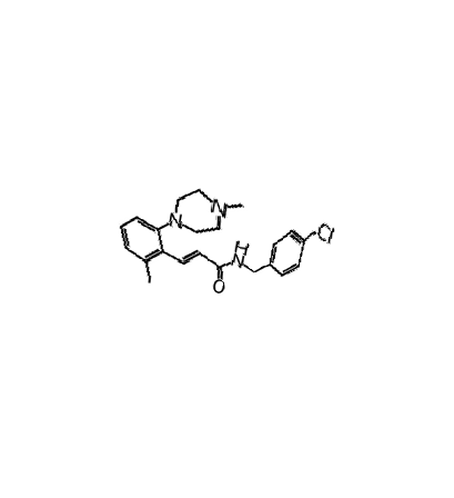 Cc1cccc(N2CCN(C)CC2)c1C=CC(=O)NCc1ccc(Cl)cc1